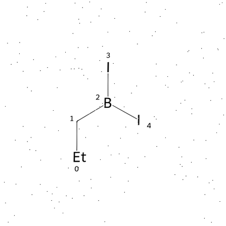 CCCB(I)I